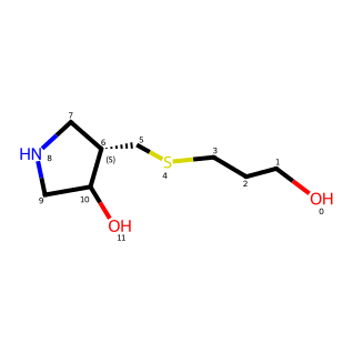 OCCCSC[C@H]1CNCC1O